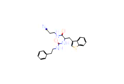 N#CCCNC(=O)C(Cc1csc2ccccc12)NC(=O)NCCc1ccccc1